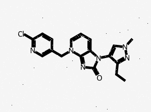 CCc1nn(C)cc1-n1c2cccn(Cc3ccc(Cl)nc3)c-2nc1=O